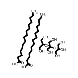 CCCCCCCCCCCCCCCC(=O)O.CCCCCCCCCCCCCCCC(=O)O.OCC(O)CO.OCC(O)CO.OCC(O)CO